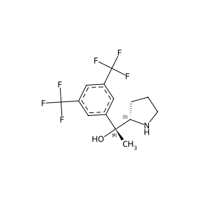 C[C@@](O)(c1cc(C(F)(F)F)cc(C(F)(F)F)c1)[C@@H]1CCCN1